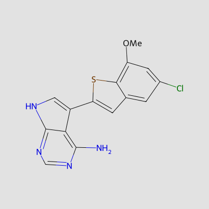 COc1cc(Cl)cc2cc(-c3c[nH]c4ncnc(N)c34)sc12